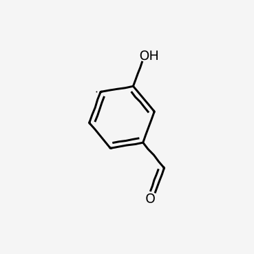 O=Cc1cc[c]c(O)c1